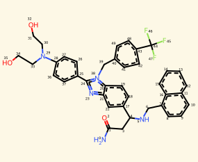 NC(=O)CC(NCc1cccc2ccccc12)c1ccc2c(c1)nc(-c1ccc(N(CCO)CCO)cc1)n2Cc1ccc(C(F)(F)F)cc1